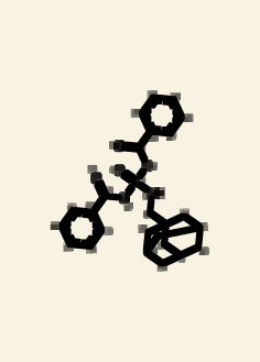 O=C(OP(=O)(NCC12CC3CC(CC(C3)C1)C2)OC(=O)c1ccccc1)c1ccccc1